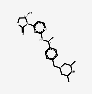 CC1CN(Cc2ccc([C@H](C)Nc3nccc(N4C(=O)OC[C@@H]4C(C)C)n3)cc2)CC(C)N1